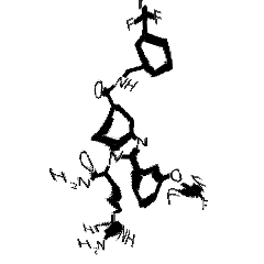 N=C(N)NCCCC(C(N)=O)n1c(-c2cccc(OC(F)(F)F)c2)nc2cc(C(=O)NCc3cccc(C(F)(F)F)c3)ccc21